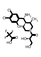 C[C@H]1CN(C(=O)[C@H](O)CO)CC[C@H]1[C@@H](N)c1cc(Cl)c(Cl)cc1O.O=C(O)C(F)(F)F